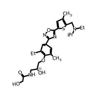 CCc1cc(-c2noc(-c3cc(C)c(CN(CC)C(C)C)s3)n2)cc(C)c1OC[C@@H](O)CNC(=O)CO